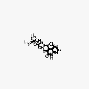 CC(C)(C)OC(=O)ON1CCc2c(c(=O)[nH]c3nccc(Cl)c23)C1